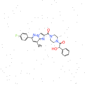 CC(C)c1cc(-c2ccc(F)cc2)nn2cc(C(=O)N3CCN(C(=O)C(O)c4ccccc4)[C@@H](C)C3)nc12